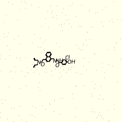 C=CCN(CC=C)C(=O)Cc1ccc(/C=N/NC(=O)c2ccc(O)c(Cl)c2)c2ccccc12